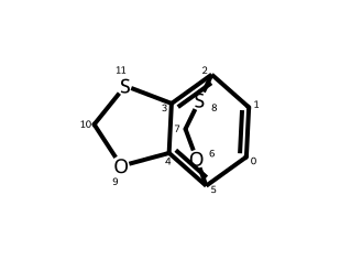 c1cc2c3c(c1OCS2)OCS3